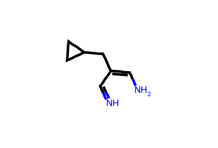 N=C/C(=C\N)CC1CC1